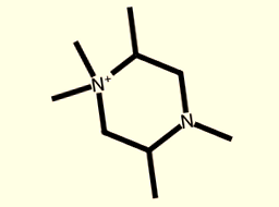 CC1C[N+](C)(C)C(C)CN1C